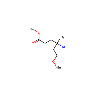 CCCC(N)(CCOC(C)(C)C)CCC(=O)OC(C)(C)C